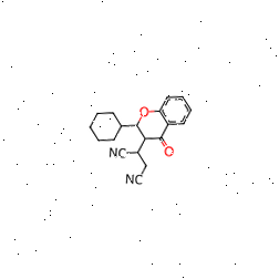 N#CCC(C#N)C1C(=O)c2ccccc2OC1C1CCCCC1